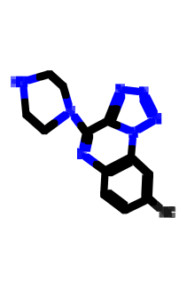 [C-]#[N+]c1ccc2nc(N3CCNCC3)c3nnnn3c2c1